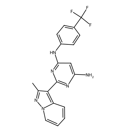 Cc1nn2ccccc2c1-c1nc(N)cc(Nc2ccc(C(F)(F)F)cc2)n1